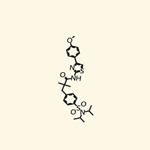 COc1ccc(-c2csc(NC(=O)C(C)(C)Cc3ccc(S(=O)(=O)N(C(C)C)C(C)C)cc3)n2)cc1